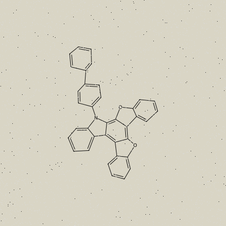 c1ccc(-c2ccc(-n3c4ccccc4c4c5c6ccccc6oc5c5c6ccccc6oc5c43)cc2)cc1